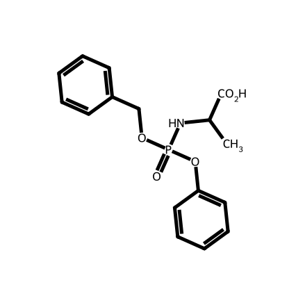 CC(NP(=O)(OCc1ccccc1)Oc1ccccc1)C(=O)O